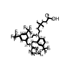 CCN(CCC(C)(C)CCC(=O)O)c1ccc(C(F)(F)F)cc1CN(Cc1cc(C(F)(F)F)cc(C(F)(F)F)c1)c1nnn(C)n1